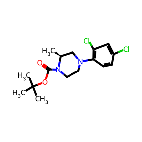 C[C@H]1CN(c2ccc(Cl)cc2Cl)CCN1C(=O)OC(C)(C)C